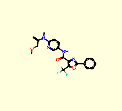 C=C(COC)N(C)c1ccc(NC(=O)c2nc(-c3ccccc3)oc2C(F)(F)F)cn1